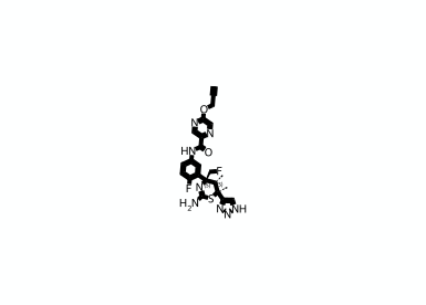 C#CCOc1cnc(C(=O)Nc2ccc(F)c([C@@]3(CF)N=C(N)S[C@](C)(c4c[nH]nn4)[C@H]3C)c2)cn1